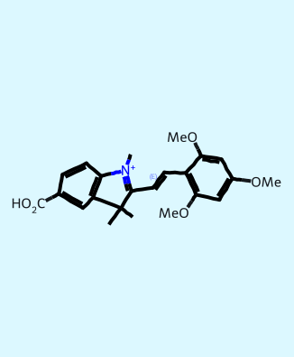 COc1cc(OC)c(/C=C/C2=[N+](C)c3ccc(C(=O)O)cc3C2(C)C)c(OC)c1